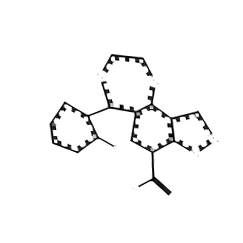 NC(=O)c1cc2c(-c3ccccc3F)nccnc2c2cnnc12